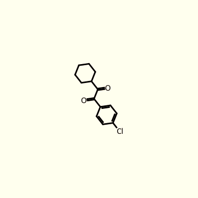 O=C(C(=O)C1CCCCC1)c1ccc(Cl)cc1